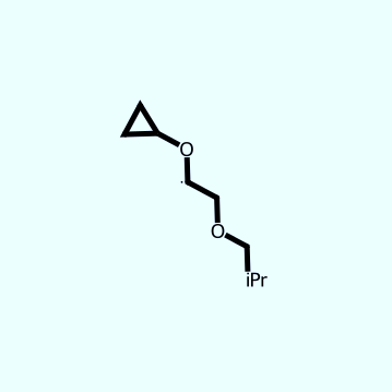 CC(C)COC[CH]OC1CC1